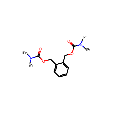 CC(C)N(C(=O)OCc1ccccc1COC(=O)N(C(C)C)C(C)C)C(C)C